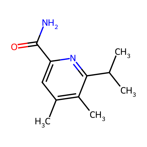 Cc1cc(C(N)=O)nc(C(C)C)c1C